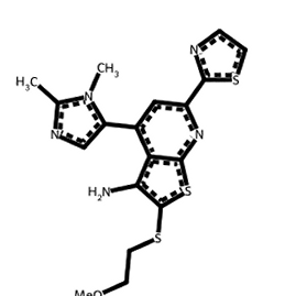 COCCSc1sc2nc(-c3nccs3)cc(-c3cnc(C)n3C)c2c1N